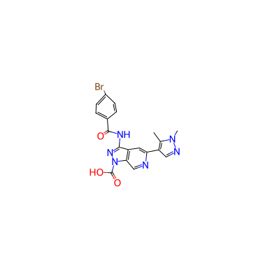 Cc1c(-c2cc3c(NC(=O)c4ccc(Br)cc4)nn(C(=O)O)c3cn2)cnn1C